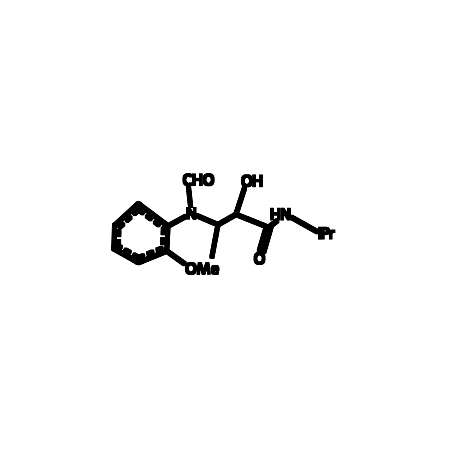 COc1ccccc1N(C=O)C(C)C(O)C(=O)NC(C)C